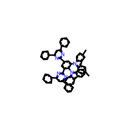 Cc1ccc2c(c1)c1cc(C)ccc1n2-c1cc(-c2nc(-c3ccccc3)cc(-c3ccccc3)n2)cc(-c2nc(-c3ccccc3)cc(-c3ccccc3)n2)c1-n1c2ccccc2c2ccccc21